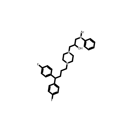 CC(=O)N(CC(O)CN1CCN(CCCC(c2ccc(F)cc2)c2ccc(F)cc2)CC1)c1ccccc1